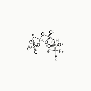 O=S(=O)(NS(=O)(=O)C(F)(F)F)OC1COS(=O)(=O)O1